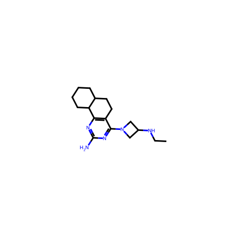 CCNC1CN(c2nc(N)nc3c2CCC2CCCCC32)C1